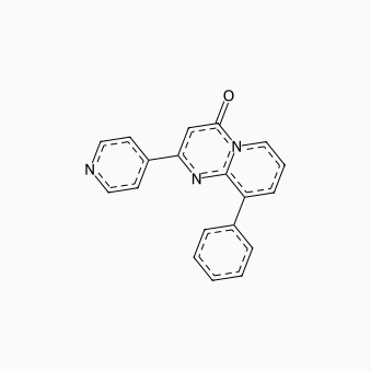 O=c1cc(-c2ccncc2)nc2c(-c3ccccc3)cccn12